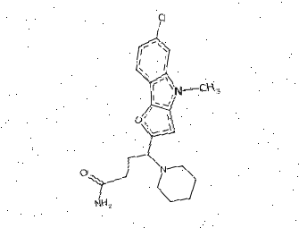 Cn1c2cc(Cl)ccc2c2oc(C(CCC(N)=O)N3CCCCC3)cc21